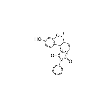 CC1(C)Oc2cc(O)ccc2C2C1C=Cn1c(=O)n(-c3ccccc3)c(=O)n12